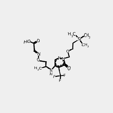 CC(CO/N=C/C(=O)O)Nc1cnn(COCC[Si](C)(C)C)c(=O)c1C(F)(F)F